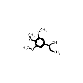 CCC(O)c1cc(OC)c(OC)c(OC)c1